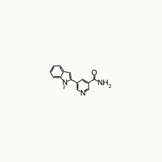 Cn1c(-c2cncc(C(N)=O)c2)cc2ccccc21